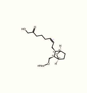 CCCCCCOC[C@H]1[C@@H](C/C=C\CCCC(=O)CO)[C@H]2CC[C@@H]1O2